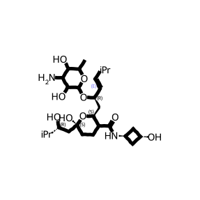 CC(C)/C=C/[C@@H](C[C@@H]1O[C@](O)(C[C@@H](O)C(C)C)CCC1C(=O)N[C@H]1C[C@@H](O)C1)OC1OC(C)C(O)C(N)C1O